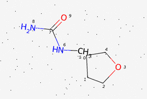 C1CCOC1.CNC(N)=O